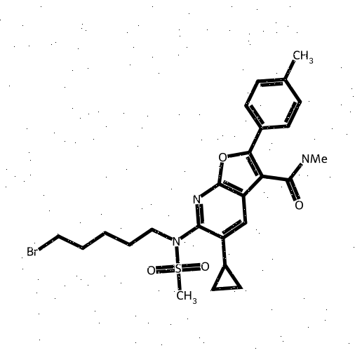 CNC(=O)c1c(-c2ccc(C)cc2)oc2nc(N(CCCCCBr)S(C)(=O)=O)c(C3CC3)cc12